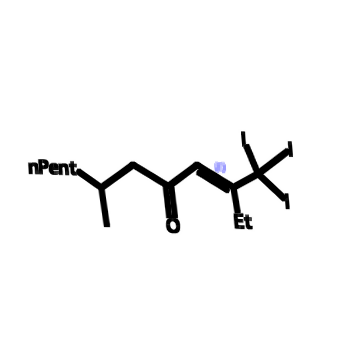 CCCCCC(C)CC(=O)/C=C(\CC)C(I)(I)I